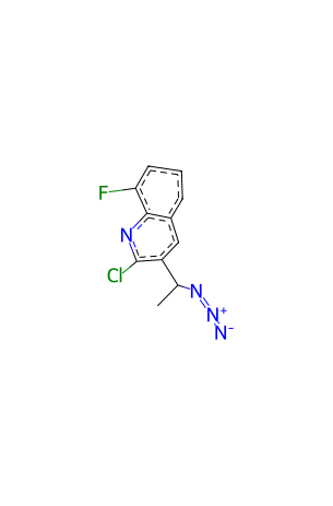 CC(N=[N+]=[N-])c1cc2cccc(F)c2nc1Cl